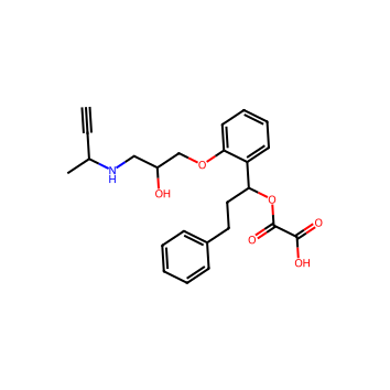 C#CC(C)NCC(O)COc1ccccc1C(CCc1ccccc1)OC(=O)C(=O)O